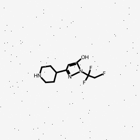 Oc1cc(C2CCNCC2)nn1C(F)(F)CF